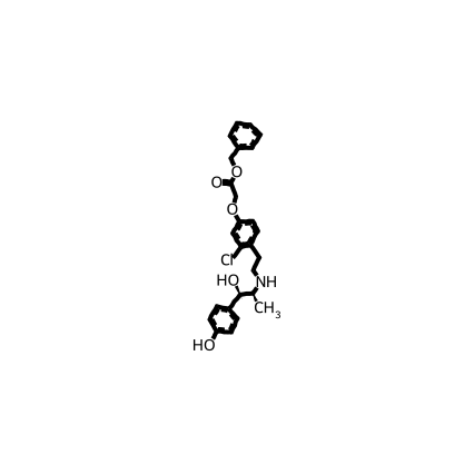 C[C@H](NCCc1ccc(OCC(=O)OCc2ccccc2)cc1Cl)[C@H](O)c1ccc(O)cc1